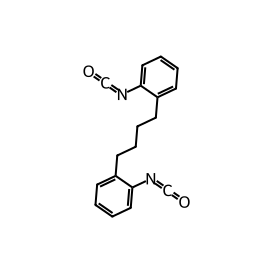 O=C=Nc1ccccc1CCCCc1ccccc1N=C=O